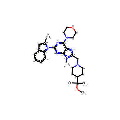 COC(C)(C)C1CCN(Cc2nc3c(N4CCOCC4)nc(-n4c(C)cc5ccccc54)nc3n2C)CC1